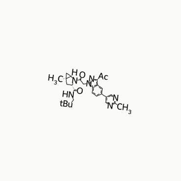 CC(=O)c1nn(CC(=O)N2[C@H](C(=O)NCC(C)(C)C)C[C@@]3(C)C[C@@H]23)c2ccc(-c3cnc(C)nc3)cc12